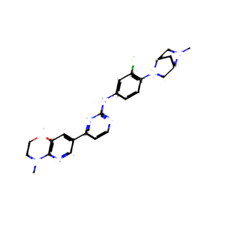 CN1CCOc2cc(-c3ccnc(Nc4ccc(N5CC6CC5CN6C)c(F)c4)n3)cnc21